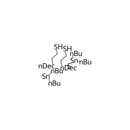 CCCCCCCCCCCCS.CCCCCCCCCCCCS.CCC[CH2][Sn](=[S])[CH2]CCC.CCC[CH2][Sn][CH2]CCC